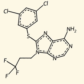 Nc1ncnc2c1nc(Sc1cc(Cl)cc(Cl)c1)n2CCC(F)(F)F